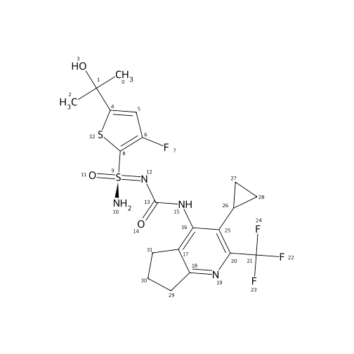 CC(C)(O)c1cc(F)c([S@@](N)(=O)=NC(=O)Nc2c3c(nc(C(F)(F)F)c2C2CC2)CCC3)s1